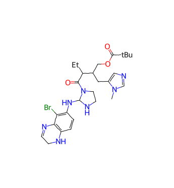 CCC(C(=O)N1CCNC1Nc1ccc2c(c1Br)N=CCN2)C(COC(=O)C(C)(C)C)Cc1cncn1C